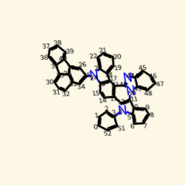 c1ccc(-n2c3ccccc3c3c2c2ccc4c(c5ccccc5n4-c4cc5c6c(cccc6c4)-c4ccccc4-5)c2c2nc4ccccc4n23)cc1